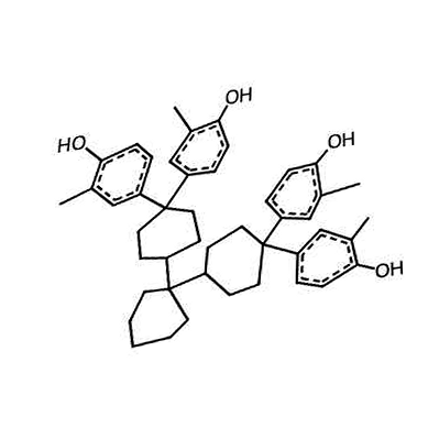 Cc1cc(C2(c3ccc(O)c(C)c3)CCC(C3(C4CCC(c5ccc(O)c(C)c5)(c5ccc(O)c(C)c5)CC4)CCCCC3)CC2)ccc1O